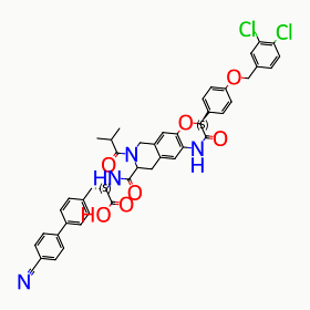 CC(C)C(=O)N1Cc2cc3c(cc2CC1C(=O)N[C@@H](Cc1ccc(-c2ccc(C#N)cc2)cc1)C(=O)O)NC(=O)[C@H](c1ccc(OCc2ccc(Cl)c(Cl)c2)cc1)O3